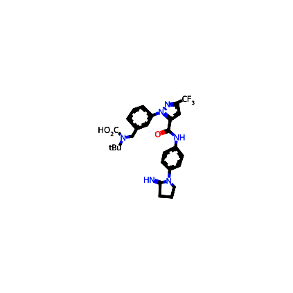 CC(C)(C)N(Cc1cccc(-n2nc(C(F)(F)F)cc2C(=O)Nc2ccc(N3CCCC3=N)cc2)c1)C(=O)O